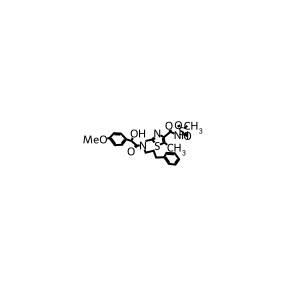 COc1ccc(C(O)C(=O)N(CCCc2ccccc2)Cc2nc(C(=O)NS(C)(=O)=O)c(C)s2)cc1